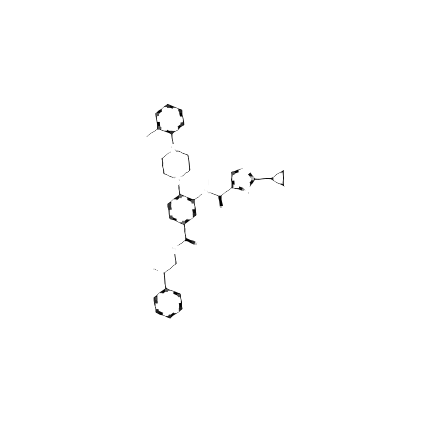 Cc1ccccc1N1CCN(c2ccc(C(=O)NC[C@H](O)c3ccccc3)cc2NC(=O)c2coc(C3CC3)n2)CC1